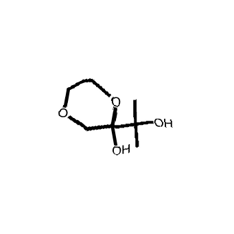 CC(C)(O)C1(O)COCCO1